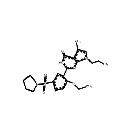 CCCn1cc(C)c2c(=O)[nH]c(-c3cc(S(=O)(=O)N4CCCC4)ccc3OCC)nc21